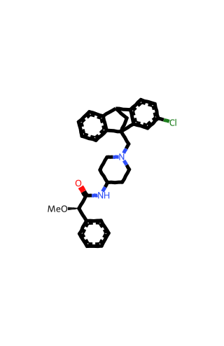 CO[C@@H](C(=O)NC1CCN(CC23CC(c4ccccc42)c2ccc(Cl)cc23)CC1)c1ccccc1